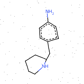 Nc1ccc(CC2CCCCN2)cc1